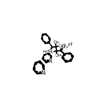 O=C(O)C(O)(C(=O)c1ccccc1)C(O)(C(=O)O)C(=O)c1ccccc1.c1ccncc1.c1ccncc1